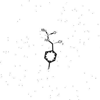 CC(C)(C)[S+]([O-])N[C@@H](c1ccc(F)cc1)C(F)(F)F